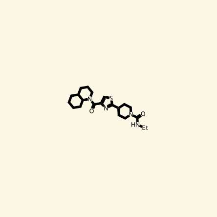 CCNC(=O)N1CCC(c2nc(C(=O)N3CCCC4CCCCC43)cs2)CC1